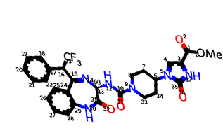 COC(=O)c1cn(C2CCN(C(=O)N[C@@H]3N=C(C(c4ccccc4)C(F)(F)F)c4ccccc4NC3=O)CC2)c(=O)[nH]1